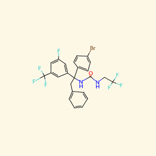 O=C(NCC(F)(F)F)NC(Cc1ccccc1)(c1ccc(Br)cc1)c1cc(F)cc(C(F)(F)F)c1